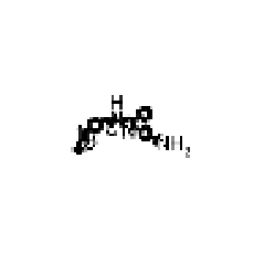 CN(C(=O)CC(C)(C)C)C1CCC(CC(=O)Nc2cnc(-c3ccc(C(C)(C)N)cc3)c(-c3ccccc3)c2)CC1